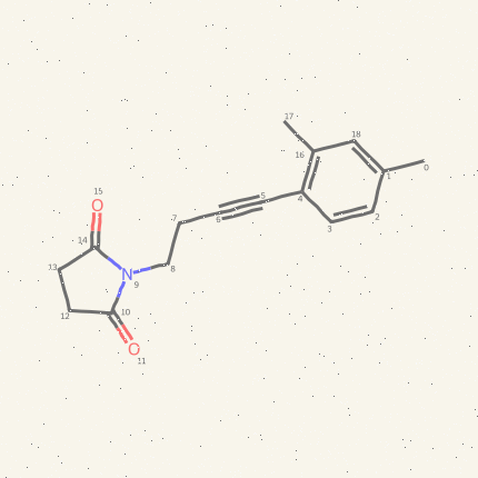 Cc1ccc(C#CCCN2C(=O)CCC2=O)c(C)c1